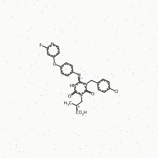 C[C@@H](Cn1c(=O)[nH]/c(=N\c2ccc(Oc3ccnc(F)c3)cc2)n(Cc2ccc(Cl)cc2)c1=O)C(=O)O